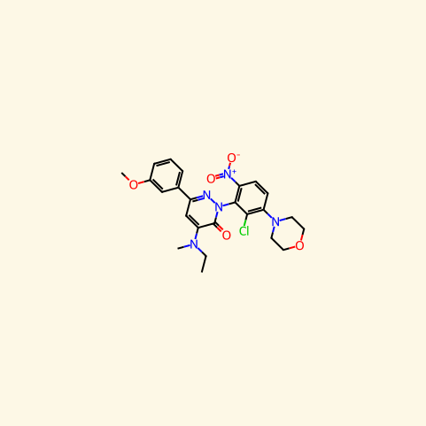 CCN(C)c1cc(-c2cccc(OC)c2)nn(-c2c([N+](=O)[O-])ccc(N3CCOCC3)c2Cl)c1=O